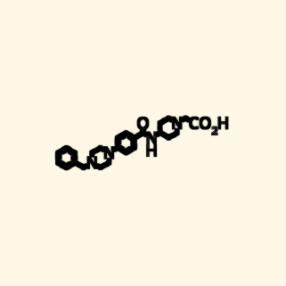 O=C(O)CN1CCC(NC(=O)c2ccc(N3CCN(Cc4ccccc4)CC3)cc2)CC1